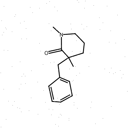 CN1CCCC(C)(Cc2ccccc2)C1=O